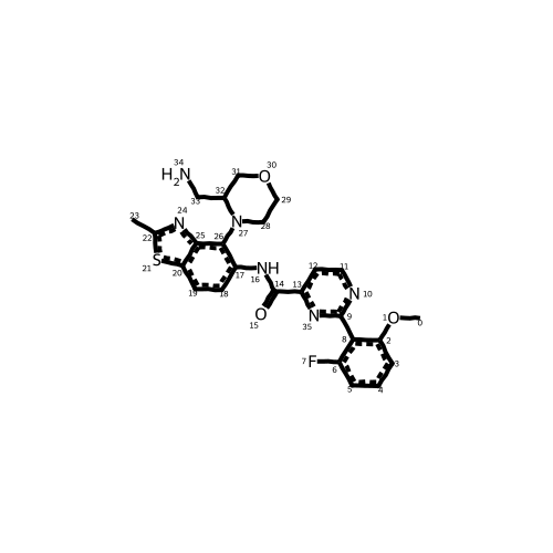 COc1cccc(F)c1-c1nccc(C(=O)Nc2ccc3sc(C)nc3c2N2CCOCC2CN)n1